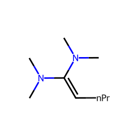 CCCC=C(N(C)C)N(C)C